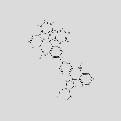 CCCCC1(CCCC)c2ccccc2N(C)c2cc(-c3ccc4c(c3)N(C)c3ccccc3C4(c3ccccc3)c3ccccc3)ccc21